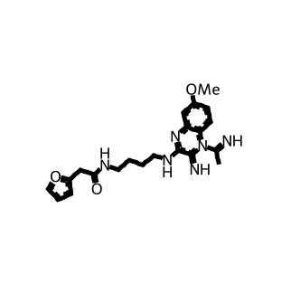 COc1ccc2c(c1)nc(NCCCCNC(=O)Cc1ccco1)c(=N)n2C(C)=N